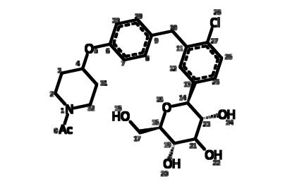 CC(=O)N1CCC(Oc2ccc(Cc3cc([C@@H]4O[C@H](CO)[C@@H](O)C(O)[C@H]4O)ccc3Cl)cc2)CC1